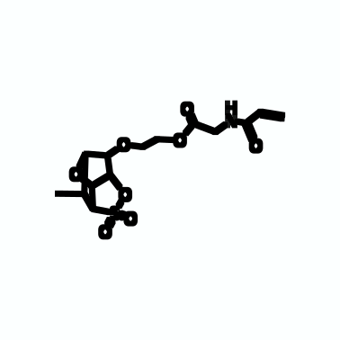 C=CC(=O)NCC(=O)OCCOC1C2OC3C1OS(=O)(=O)C3C2C